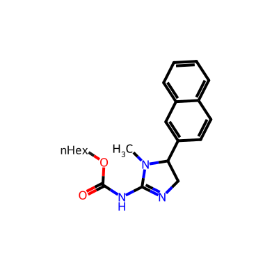 CCCCCCOC(=O)NC1=NCC(c2ccc3ccccc3c2)N1C